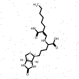 CCCCCCC(=CNC(CCC[C@@H]1SC[C@@H]2NC(=O)N[C@@H]21)C(=O)O)C([NH])=O